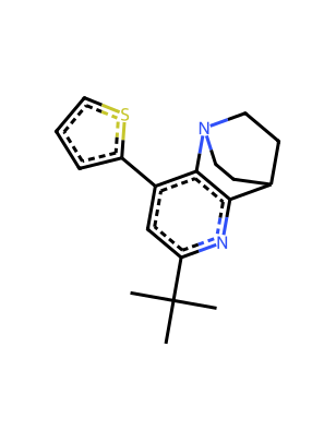 CC(C)(C)c1cc(-c2cccs2)c2c(n1)C1CCN2CC1